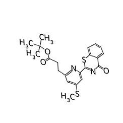 CSc1cc(CCC(=O)OC(C)(C)C)nc(-c2nc(=O)c3ccccc3s2)c1